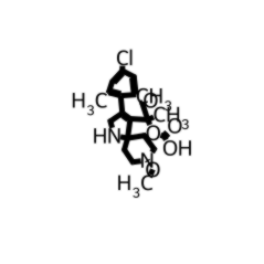 CON1CCC2(CC1)NCC(c1c(C)cc(Cl)cc1C)=C2C(C)(C=O)OC(=O)O